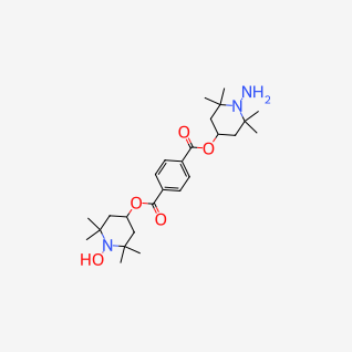 CC1(C)CC(OC(=O)c2ccc(C(=O)OC3CC(C)(C)N(O)C(C)(C)C3)cc2)CC(C)(C)N1N